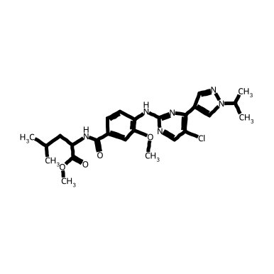 COC(=O)C(CC(C)C)NC(=O)c1ccc(Nc2ncc(Cl)c(-c3cnn(C(C)C)c3)n2)c(OC)c1